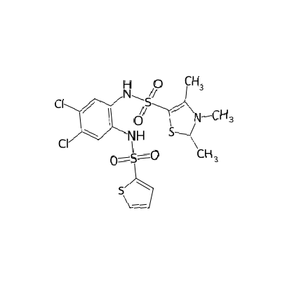 CC1=C(S(=O)(=O)Nc2cc(Cl)c(Cl)cc2NS(=O)(=O)c2cccs2)SC(C)N1C